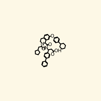 O=C(O)CC(NC(=O)C1c2cc(Oc3ccc(C4CCCCC4)cc3)ccc2CCN1C(=O)CC1CCCC1)c1ccc(-c2ccccc2)cc1